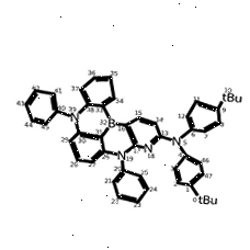 CC(C)(C)c1ccc(N(c2ccc(C(C)(C)C)cc2)c2ccc3c(n2)N(c2ccccc2)c2cccc4c2B3c2ccccc2N4c2ccccc2)cc1